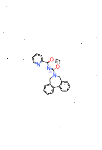 CCO/C(=N\C(=O)c1ccccn1)N1Cc2ccccc2-c2ccccc2C1